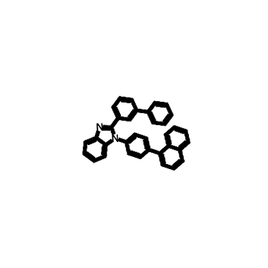 c1ccc(-c2cccc(-c3nc4ccccc4n3-c3ccc(-c4cccc5ccccc45)cc3)c2)cc1